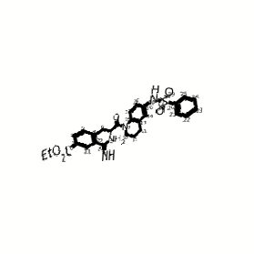 CCOC(=O)c1ccc(CCC(=O)N2CCCc3cc(NS(=O)(=O)c4ccccc4)ccc32)c(C(=N)N)c1